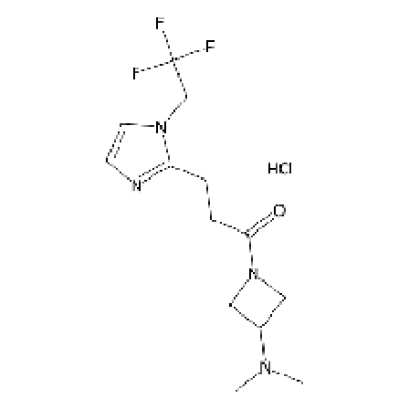 CN(C)C1CN(C(=O)CCc2nccn2CC(F)(F)F)C1.Cl